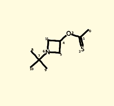 CC(=S)OC1CN(C(C)(C)C)C1